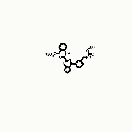 CCOC(=O)Cc1ccccc1NC(=O)c1nc(-c2cccc(CNC(=O)OC(C)(C)C)c2)c2ccsc2n1